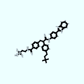 CC(C)(C)CCc1ccc(C(Cc2ccc(C(=O)NCCS(=O)(=O)O)cc2)C(=O)Nc2ccc(-c3nc4ccccc4s3)cc2)cc1